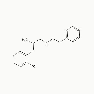 CC(CNCCc1ccncc1)Oc1ccccc1Cl